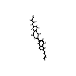 C=CCCc1ccc2cc(C3CCC4CC(CCCC)CCC4C3)ccc2c1